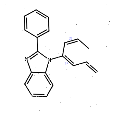 C=C/C=C(\C=C/C)n1c(-c2ccccc2)nc2ccccc21